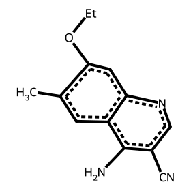 CCOc1cc2ncc(C#N)c(N)c2cc1C